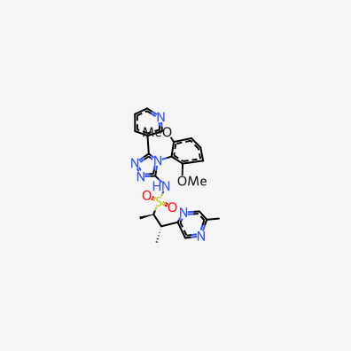 COc1cccc(OC)c1-n1c(NS(=O)(=O)[C@H](C)[C@@H](C)c2cnc(C)cn2)nnc1-c1cccnc1